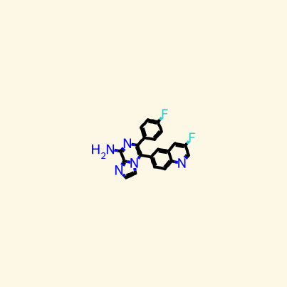 Nc1nc(-c2ccc(F)cc2)c(-c2ccc3ncc(F)cc3c2)n2ccnc12